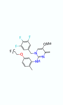 C=C1N=C(Nc2cc(OCC(F)(F)F)ccc2C)N(Cc2cc(F)c(F)c(F)c2)C=C1OC